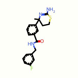 CC1(c2cccc(C(=O)NCc3cccc(F)c3)c2)CCSC(N)=N1